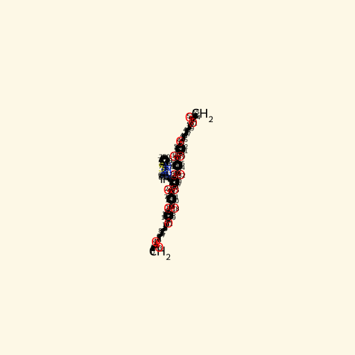 C=CC(=O)OCCCCCCOc1ccc(OC(=O)[C@H]2CC[C@H](C(=O)Oc3ccc(OC(=O)[C@H]4CC[C@H](C(=O)Oc5ccc(OCCCCCCOC(=O)C=C)cc5)CC4)c(/C=N/N(CC(C)C)c4nc5ccccc5s4)c3)CC2)cc1